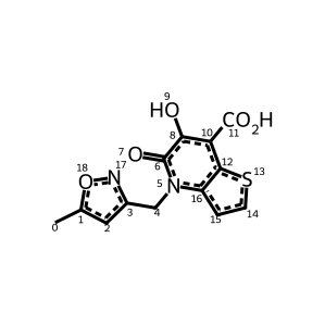 Cc1cc(Cn2c(=O)c(O)c(C(=O)O)c3sccc32)no1